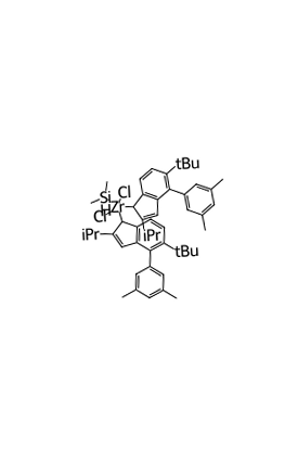 Cc1cc(C)cc(-c2c(C(C)(C)C)ccc3c2C=C(C(C)C)[CH]3[Zr]([Cl])([Cl])([CH]2C(C(C)C)=Cc3c2ccc(C(C)(C)C)c3-c2cc(C)cc(C)c2)[SiH](C)C)c1